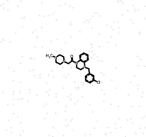 CN1CCN(CC(=O)N2CCN(Cc3cccc(Cl)c3)c3ccccc32)CC1